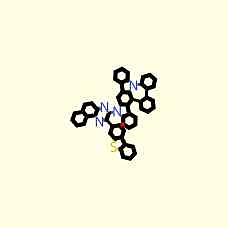 c1ccc2c(c1)-c1ccccc1-n1c3ccccc3c3cc4c(c-2c31)c1ccccc1n4-c1nc2ccc3ccccc3c2nc1-c1ccc2c(c1)sc1ccccc12